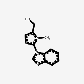 Cn1c(CO)cnc1-n1cnc2ccccc21